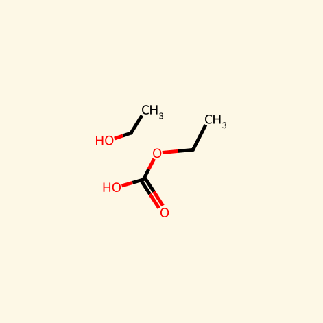 CCO.CCOC(=O)O